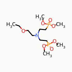 CCOCCN(CCP(=O)(OC)OC)CCP(=O)(OC)OC